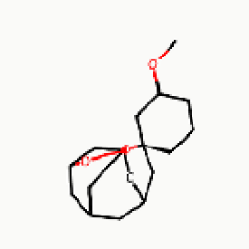 COC1CCC[C@]2(CC3CC4CC(C3)CC(C4)OO2)C1